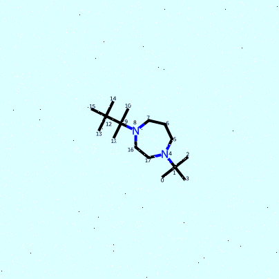 CC(C)(C)N1CCCN(C(C)(C)C(C)(C)C)CC1